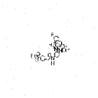 CCn1c(C(C)(C)Oc2ccc(F)cc2F)nc2cc(NC(=O)Cc3ccc(S(=O)(=O)CC)cc3)ccc21